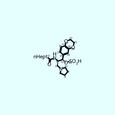 CCCCCCCC(=O)N[C@H](CN1CCCC1)[C@H](OS(=O)(=O)O)c1ccc2c(c1)OCCO2